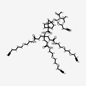 C#CCCCCOCCNC(=O)CCC(CCC(=O)NCCOCCOCC#C)(CCC(=O)NCCOCCOCC#C)NC(=O)C12CCC3(OP(OCCC#N)N(C(C)C)C(C)C)CC31CC2